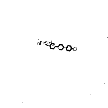 CCC[SiH2]C[C@H]1CC[C@H]([C@H]2CC[C@H](c3ccc(Cl)cc3)CC2)CC1